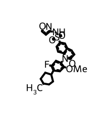 COc1cc(C2CCC(C)CC2)c(F)cc1-n1c(=O)ccc2cc(S(=O)(=O)Nc3ccon3)ccc21